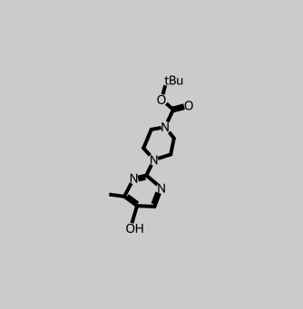 Cc1nc(N2CCN(C(=O)OC(C)(C)C)CC2)ncc1O